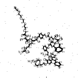 Cc1c(C2c3c(O[C@H](Cc4ccccc4OCc4ccnc(-c5ccccc5COC(=O)N(C)CCN(C)C(=O)OCc5ccc(NC(=O)[C@H](CCCNC(N)=O)NC(=O)[C@@H](NC(=O)COCCOCCOCCN=[N+]=[N-])C(C)C)cc5)n4)C(=O)O)ncnc3SC2c2ccc(F)cc2)ccc(OCCN2CCN(C)CC2)c1Cl